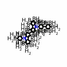 Bc1c(B)c(B)c(-c2c(B)c(B)c(-n3c4c(B)c(B)c(B)c(B)c4c4c(B)c(-c5c(B)c(B)c6c(c5B)c5c(B)c(B)c(B)c(B)c5n6-c5c(B)c(B)c(B)c(B)c5B)c(B)c(B)c43)c(B)c2B)c(B)c1B